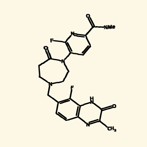 CNC(=O)c1ccc(N2CCN(Cc3ccc4nc(C)c(=O)[nH]c4c3F)CCC2=O)c(F)n1